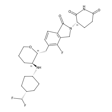 O=C1CC[C@H](N2Cc3c(ccc(C[C@H]4OCCC[C@@H]4N[C@H]4CC[C@@H](C(F)F)CC4)c3F)C2=O)C(=O)N1